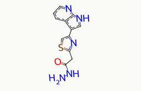 NNC(=O)Cc1nc(-c2c[nH]c3ncccc23)cs1